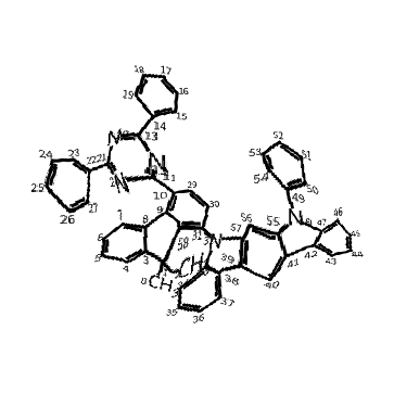 CC1(C)c2ccccc2-c2c(-c3nc(-c4ccccc4)nc(-c4ccccc4)n3)ccc(-n3c4ccccc4c4cc5c6ccccc6n(-c6ccccc6)c5cc43)c21